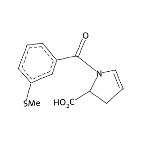 CSc1cccc(C(=O)N2C=CCC2C(=O)O)c1